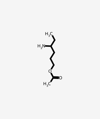 CCC(N)CCCOC(C)=O